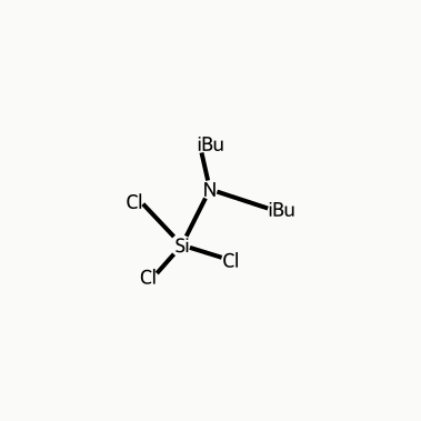 CCC(C)N(C(C)CC)[Si](Cl)(Cl)Cl